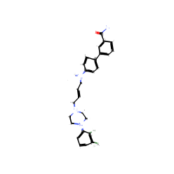 NC(=O)c1cccc(-c2ccc(N(C/C=C/CN3CCN(c4cccc(Cl)c4Cl)CC3)C(=O)O)cc2)c1